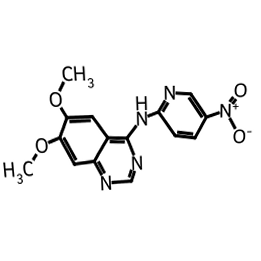 COc1cc2ncnc(Nc3ccc([N+](=O)[O-])cn3)c2cc1OC